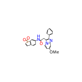 COc1ccn2c(CC(=O)Nc3ccc4c(c3)S(=O)(=O)C=C4)c(-c3ccccc3)nc2c1